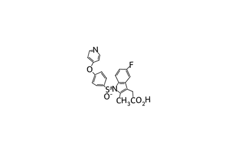 Cc1c(CC(=O)O)c2cc(F)ccc2n1[S+]([O-])c1ccc(Oc2ccncc2)cc1